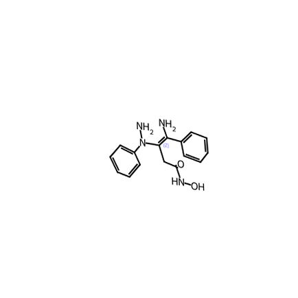 N/C(=C(/CC(=O)NO)N(N)c1ccccc1)c1ccccc1